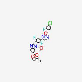 COC(=O)c1ccc2nc(Cc3cc(F)c(-c4ccnc(OCc5ccc(Cl)cc5F)n4)cc3F)n(C[C@@H]3CCO3)c2c1